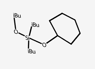 CCC(C)O[Si](OC1CCCCC1)(C(C)CC)C(C)CC